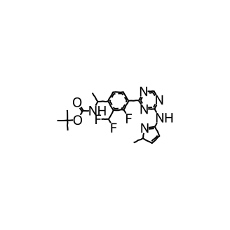 CC1C=CC(Nc2ncnc(-c3ccc(C(C)NC(=O)OC(C)(C)C)c(C(F)F)c3F)n2)=N1